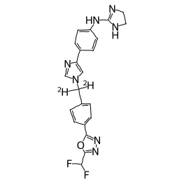 [2H]C([2H])(c1ccc(-c2nnc(C(F)F)o2)cc1)n1cnc(-c2ccc(NC3=NCCN3)cc2)c1